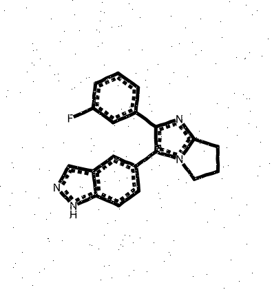 Fc1cccc(-c2nc3n(c2-c2ccc4[nH]ncc4c2)CCC3)c1